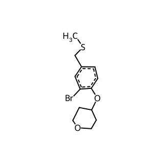 CSCc1ccc(OC2CCOCC2)c(Br)c1